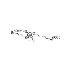 CCCCCCCC/C=C\CCCCCCCCOC(CSSCCCCCCCCCCCC)O[Si](C)(C)OCCCCCCBr